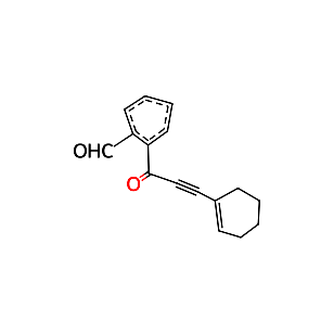 O=Cc1ccccc1C(=O)C#CC1=CCCCC1